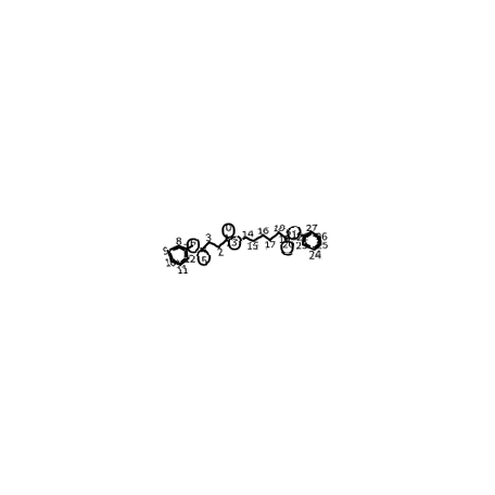 O=C(CCC(=O)Oc1ccccc1)OCCCCCC(=O)Oc1ccccc1